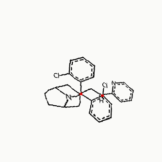 Clc1ccccc1C(c1ccccc1Cl)N1C2CCC1CC(CNc1ccccn1)C2